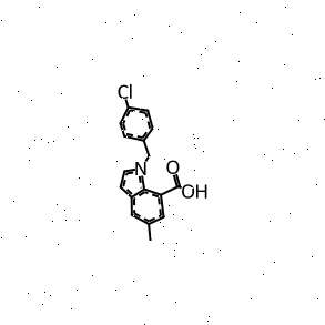 Cc1cc(C(=O)O)c2c(ccn2Cc2ccc(Cl)cc2)c1